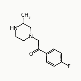 CC1CN(CC(=O)c2ccc(F)cc2)CCN1